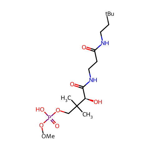 COOP(=O)(O)OCC(C)(C)[C@H](O)C(=O)NCCC(=O)NCCC(C)(C)C